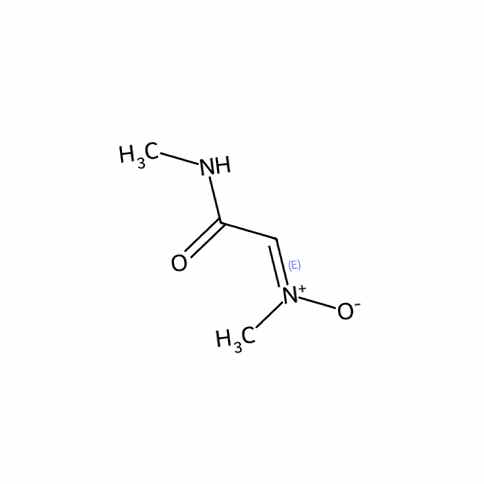 CNC(=O)/C=[N+](\C)[O-]